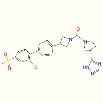 CS(=O)(=O)c1ccc(-c2ccc(C3CN(C(=O)N4CC[C@H](c5ncn[nH]5)C4)C3)cc2)c(Cl)c1